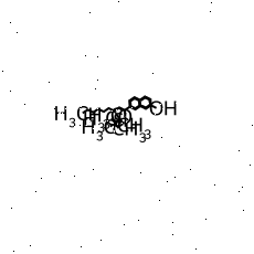 CCCCCCCCC(O[Si](C)(C)C(C)(C)C)c1ccc2ccc(O)cc2c1